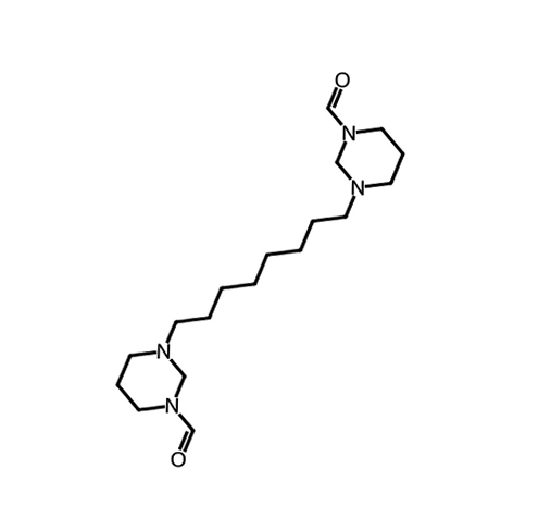 O=CN1CCCN(CCCCCCCCN2CCCN(C=O)C2)C1